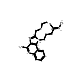 CCOCc1nc2c(N)nc3ccccc3c2n1CCC/C(C)=N/O